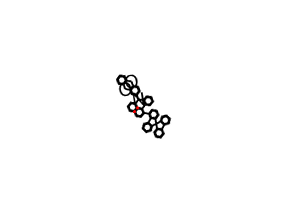 c1ccc(N(c2ccc3c(c2)Oc2ccccc2O3)c2ccccc2-c2ccccc2-c2cccc3c2-c2ccccc2C32c3ccccc3-c3ccccc32)cc1